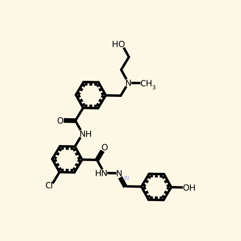 CN(CCO)Cc1cccc(C(=O)Nc2ccc(Cl)cc2C(=O)N/N=C/c2ccc(O)cc2)c1